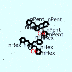 CCCCCCc1cccc(Cc2ccc(O)c(Cc3cccc(CCCCCC)c3CCCCCC)c2Cc2cccc(CCCCCC)c2CCCCCC)c1CCCCCC.CCCCCc1cccc(Cc2ccc(O)c(Cc3cccc(CCCCC)c3CCCCC)c2Cc2cccc(CCCCC)c2CCCCC)c1CCCCC